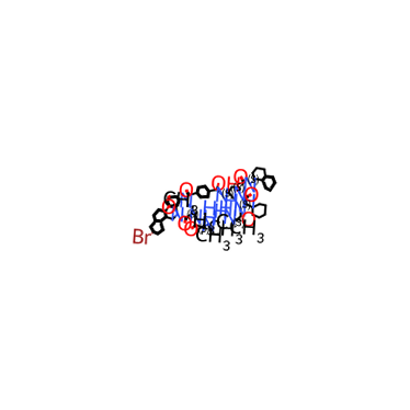 CN[C@@H](C)C(=O)N[C@H]1CN(C(=O)c2ccc(C(O)N[C@H]3C[C@@H](C(=O)N[C@H]4CCCc5ccccc54)N(C(=O)[C@@H](NC(=O)[C@H](C)NC)C4CCCCC4)C3)cc2)c2ccccc2N(Cc2c(OC)ccc3cc(Br)ccc23)C1=O